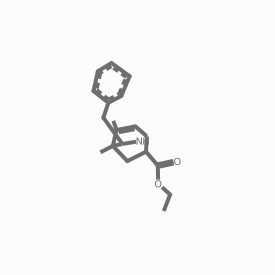 CCOC(=O)C1CC2(C)C(C)=CC1NC2Cc1ccccc1